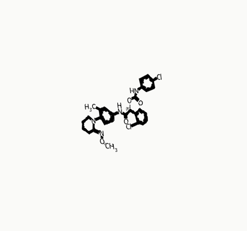 CON=C1CCCCN1c1ccc(NC(=O)[C@H](OC(=O)Nc2ccc(Cl)cc2)c2ccccc2Cl)cc1C